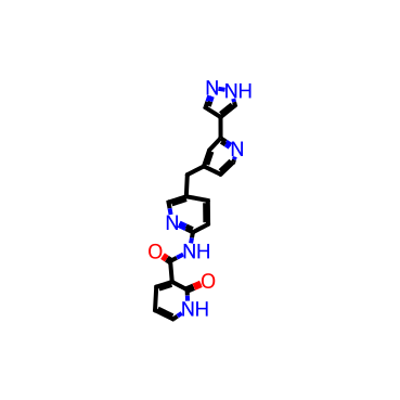 O=C(Nc1ccc(Cc2ccnc(-c3cn[nH]c3)c2)cn1)c1ccc[nH]c1=O